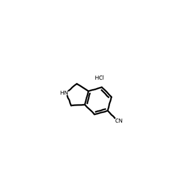 Cl.N#Cc1ccc2c(c1)CNC2